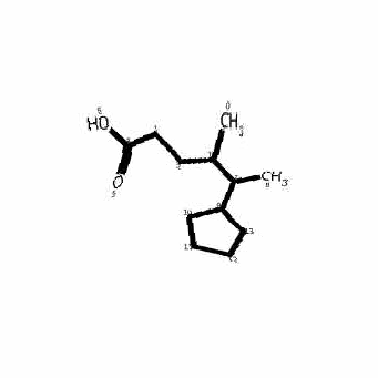 CC(CCC(=O)O)C(C)C1CCCC1